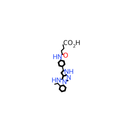 CC(Nc1ncnc2[nH]c(-c3ccc(NC(=O)CCCC(=O)O)cc3)cc12)c1ccccc1